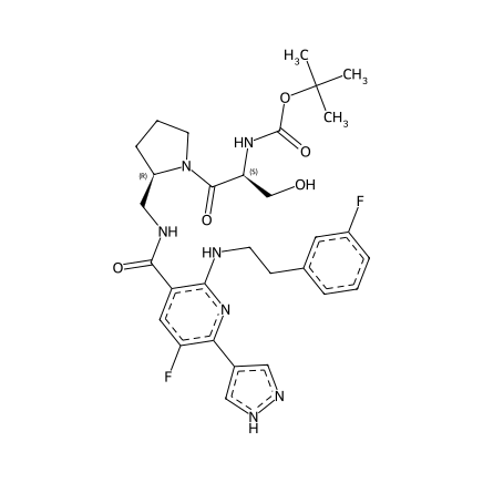 CC(C)(C)OC(=O)N[C@@H](CO)C(=O)N1CCC[C@@H]1CNC(=O)c1cc(F)c(-c2cn[nH]c2)nc1NCCc1cccc(F)c1